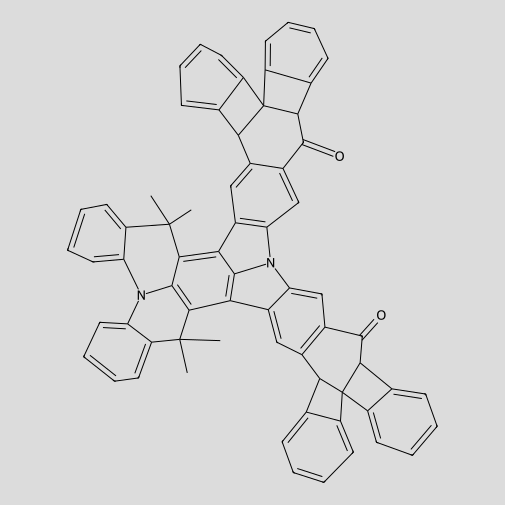 CC1(C)c2ccccc2N2c3ccccc3C(C)(C)c3c2c1c1c2cc4c(cc2n2c5cc6c(cc5c3c12)C1c2ccccc2C12c1ccccc1C2C6=O)C(=O)C1c2ccccc2C12c1ccccc1C42